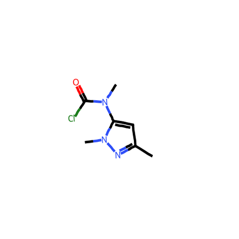 Cc1cc(N(C)C(=O)Cl)n(C)n1